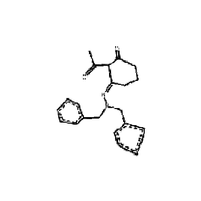 CC(=O)C1C(=O)CCCC1=NN(Cc1ccccc1)Cc1ccccc1